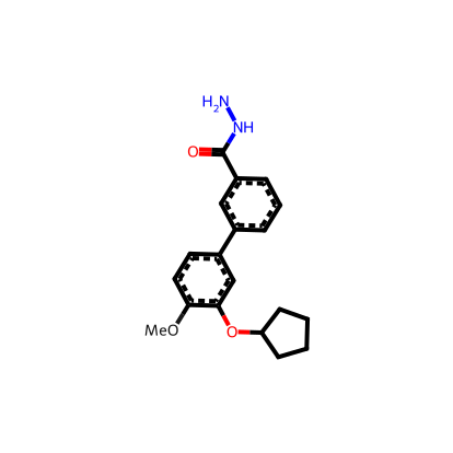 COc1ccc(-c2cccc(C(=O)NN)c2)cc1OC1CCCC1